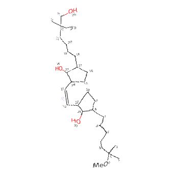 COC(C)(C)CCCCC1CCC(/C=C\C2CCC(CCCCC(C)(C)CO)C2O)C1O